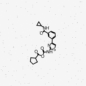 O=C(Nc1nc(-c2cccc(C(=O)NC3CC3)c2)cs1)OC(=O)C1CCCC1